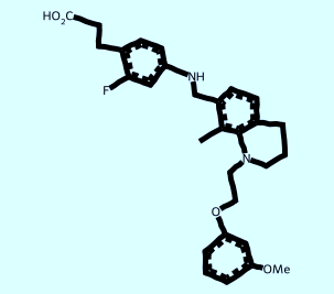 COc1cccc(OCCN2CCCc3ccc(CNc4ccc(CCC(=O)O)c(F)c4)c(C)c32)c1